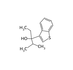 CCC(O)(c1csc2ccccc12)C(C)C